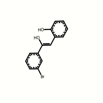 OC(=Cc1ccccc1O)c1cccc(Br)c1